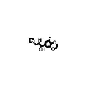 N[C@H](CN1CCC1)[C@H](O)c1cc(F)c2c(c1)OCCO2